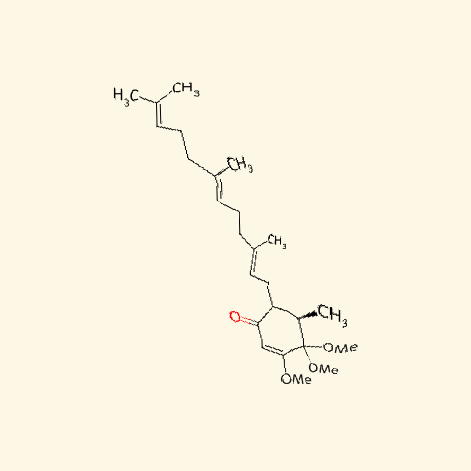 COC1=CC(=O)C(C/C=C(\C)CC/C=C(\C)CCC=C(C)C)[C@@H](C)C1(OC)OC